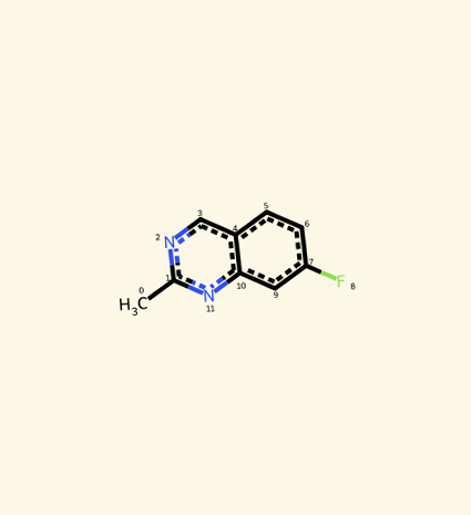 Cc1ncc2ccc(F)cc2n1